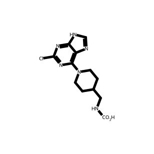 O=C(O)NCC1CCN(c2nc(Cl)nc3[nH]cnc23)CC1